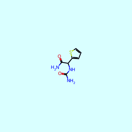 NC(=O)NC(C(N)=O)c1cccs1